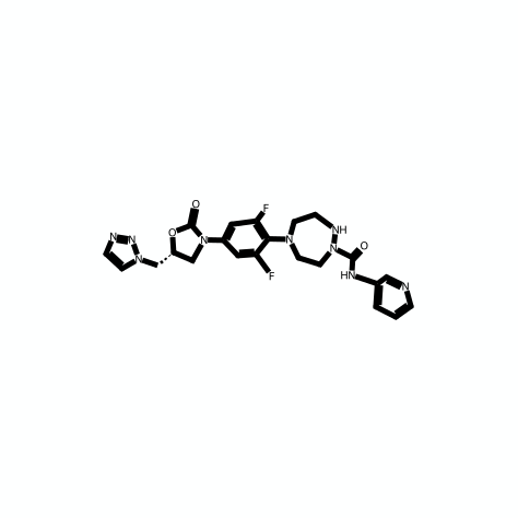 O=C(Nc1cccnc1)N1CCN(c2c(F)cc(N3C[C@H](Cn4ccnn4)OC3=O)cc2F)CCN1